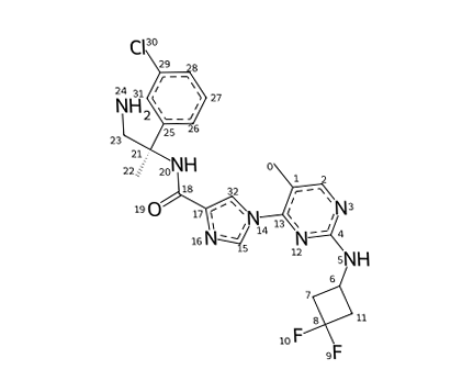 Cc1cnc(NC2CC(F)(F)C2)nc1-n1cnc(C(=O)N[C@@](C)(CN)c2cccc(Cl)c2)c1